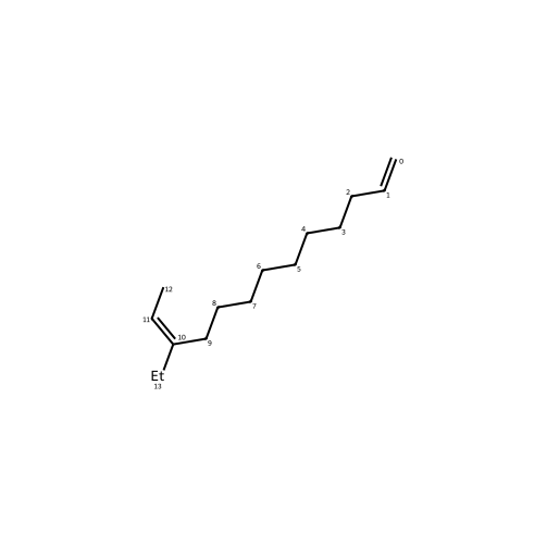 C=CCCCCCCCCC(=CC)CC